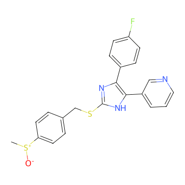 C[S+]([O-])c1ccc(CSc2nc(-c3ccc(F)cc3)c(-c3cccnc3)[nH]2)cc1